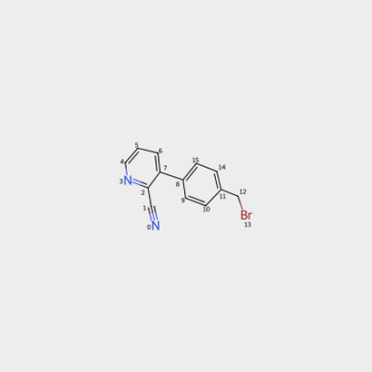 N#Cc1ncccc1-c1ccc(CBr)cc1